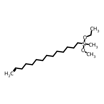 C=CCCCCCCCCCCCC[Si](C)(OC)OCC